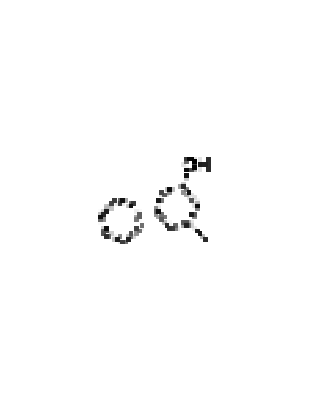 Cc1cccc(O)c1.c1ccccc1